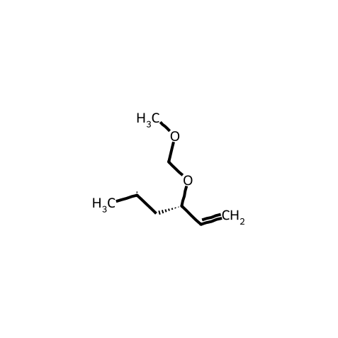 C=C[C@H](C[CH]C)OCOC